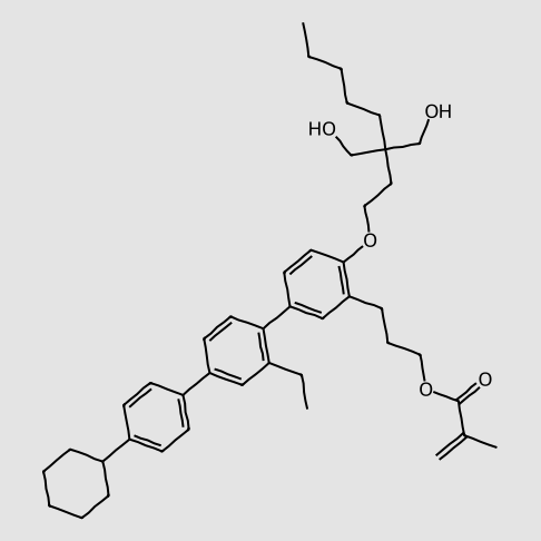 C=C(C)C(=O)OCCCc1cc(-c2ccc(-c3ccc(C4CCCCC4)cc3)cc2CC)ccc1OCCC(CO)(CO)CCCCC